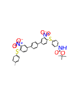 Cc1ccc(Sc2ccc(-c3ccc(-c4ccc(Sc5ccc(NC(=O)OC(C)(C)C)cc5)c([N+](=O)[O-])c4)cc3)cc2[N+](=O)[O-])cc1